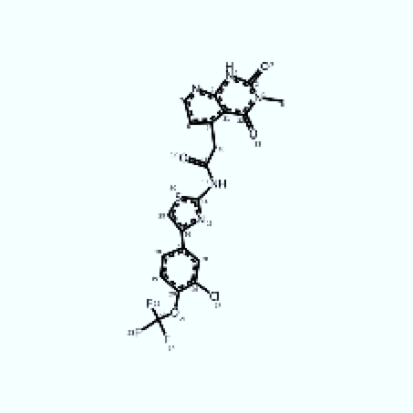 Cn1c(=O)[nH]c2nccc(CC(=O)Nc3nc(-c4ccc(OC(F)(F)F)c(Cl)c4)cs3)c2c1=O